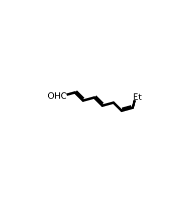 CC/C=C\C/C=C/C=C/C=O